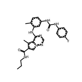 CCCNC(=O)c1cn2ncnc(Nc3cc(NC(=O)Nc4ccc(F)cc4)ccc3C)c2c1C